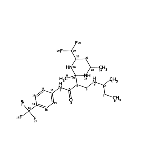 CCC(C)NCC(C(=O)Nc1ccc(C(F)(F)F)cc1)C1(C)NC(C)CC(C(F)F)N1